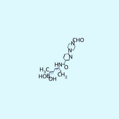 C=C/C(=C\C=C(/C)B(O)O)NC(=O)c1ccc(N2CCN(C=O)CC2)nc1